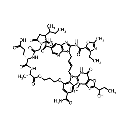 CCc1nc(C)oc1C(=O)Nc1nc2cc(C(N)=O)cnc2n1C/C=C/Cn1c(NC(=O)c2oc(C(C)CC)nc2CC)nc2cc(C(N)=O)cc(OCCCOC(=O)[C@H](C)NC(=O)[C@H](CCC(=O)O)NC(=O)CN3C(=O)CC(C(C)CC)C3=O)c21